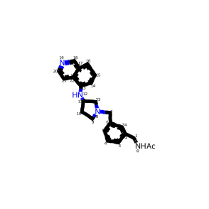 CC(=O)NCc1cccc(CN2CCC(Nc3cccc4cnccc34)C2)c1